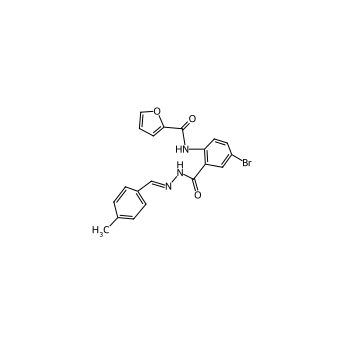 Cc1ccc(C=NNC(=O)c2cc(Br)ccc2NC(=O)c2ccco2)cc1